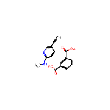 C#Cc1ccc(NC)nc1.O=C(O)c1cccc(C(=O)O)c1